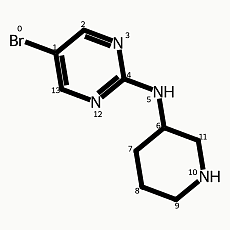 Brc1cnc(NC2CCCNC2)nc1